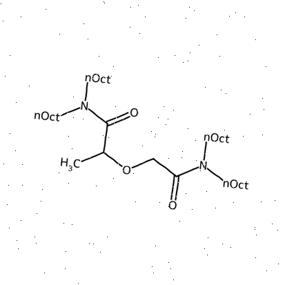 CCCCCCCCN(CCCCCCCC)C(=O)COC(C)C(=O)N(CCCCCCCC)CCCCCCCC